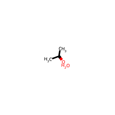 CC(C)=O.O